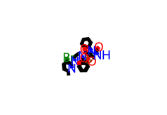 Cc1ccc(Br)c(N2CCN(C(=O)C3(S(=O)(=O)c4ccccc4)CNC(=O)N3C3CCCCC3)CC2)n1